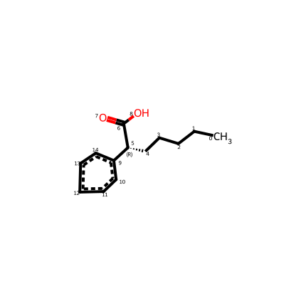 CCCCC[C@@H](C(=O)O)c1ccccc1